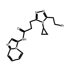 CC(C)CCc1nnc(CCC(=O)Nc2cnc3ccccn23)n1C1CC1